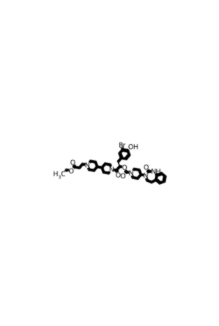 CCOC(=O)CCN1CCC(C2CCN(C(=O)[C@@H](Cc3ccc(O)c(Br)c3)OC(=O)N3CCC(N4CCc5ccccc5NC4=O)CC3)CC2)CC1